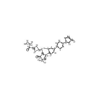 Cc1cc(-c2ccc(-c3cnn(C)c3)cc2)ccc1C1=NC(C)(C)C(=O)N1CC1CN(C(=O)C2(C)CC2)C1